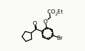 CCOC(=O)COc1cc(Br)ccc1C(=O)C1CCCC1